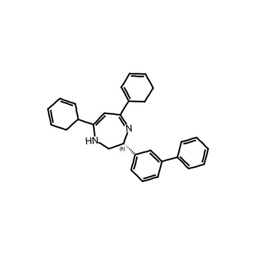 C1=CCCC(C2=N[C@H](c3cccc(-c4ccccc4)c3)CNC(C3C=CC=CC3)=C2)=C1